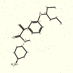 C=C(C(=O)N(C)[C@H]1CC[C@H](N)CC1)c1cccc(OC(CC)CCC)c1